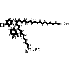 CCCCCCCCCCCCCCCCCCCCCCCCCCC(=Nc1ccc(CC)c(CC)c1)C(CCCCCCCCCCCCCCCCCCCC)=Nc1ccc(CC)c(CC)c1.[Ni]